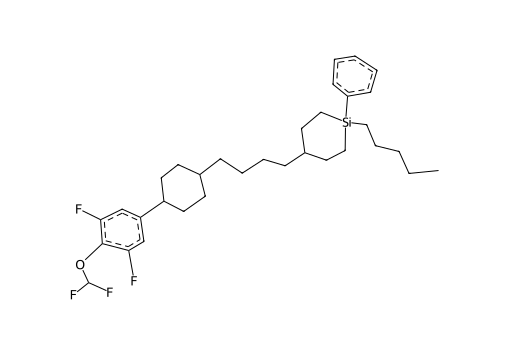 CCCCC[Si]1(c2ccccc2)CCC(CCCCC2CCC(c3cc(F)c(OC(F)F)c(F)c3)CC2)CC1